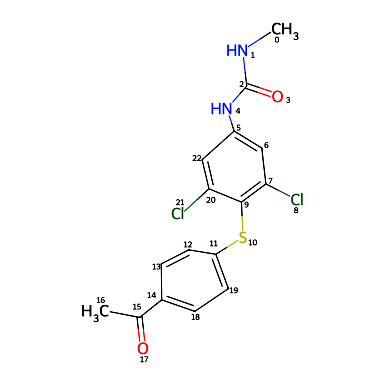 CNC(=O)Nc1cc(Cl)c(Sc2ccc(C(C)=O)cc2)c(Cl)c1